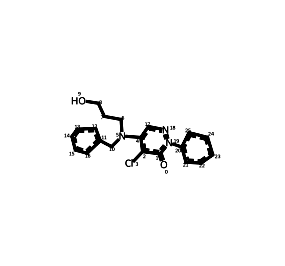 O=c1c(Cl)c(N(CCCO)Cc2ccccc2)cnn1-c1ccccc1